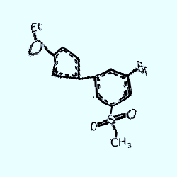 CCOc1ccc(-c2[c]c(S(C)(=O)=O)cc(Br)c2)cc1